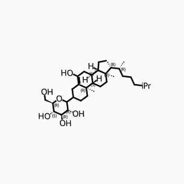 CC(C)CCC[C@@H](C)[C@H]1CC[C@H]2[C@@H]3CC(O)=C4CC(C5O[C@H](CO)[C@@H](O)[C@H](O)[C@H]5O)CC[C@]4(C)[C@H]3CC[C@]12C